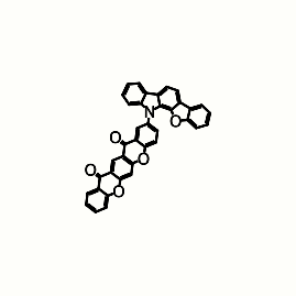 O=c1c2ccccc2oc2cc3oc4ccc(-n5c6ccccc6c6ccc7c8ccccc8oc7c65)cc4c(=O)c3cc12